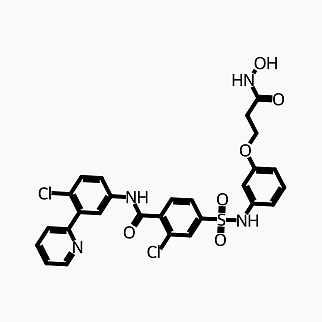 O=C(CCOc1cccc(NS(=O)(=O)c2ccc(C(=O)Nc3ccc(Cl)c(-c4ccccn4)c3)c(Cl)c2)c1)NO